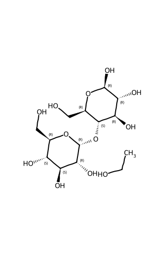 CCO.OC[C@H]1O[C@H](O[C@H]2[C@H](O)[C@@H](O)[C@H](O)O[C@@H]2CO)[C@H](O)[C@@H](O)[C@@H]1O